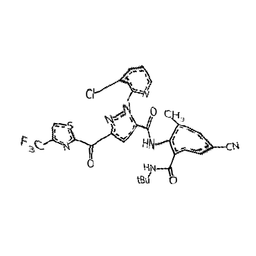 Cc1cc(C#N)cc(C(=O)NC(C)(C)C)c1NC(=O)c1cc(C(=O)c2nc(C(F)(F)F)cs2)nn1-c1ncccc1Cl